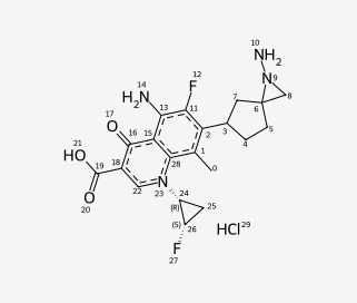 Cc1c(C2CCC3(C2)CN3N)c(F)c(N)c2c(=O)c(C(=O)O)cn([C@@H]3C[C@@H]3F)c12.Cl